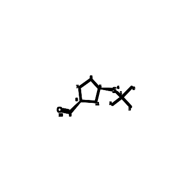 CC(C)(C)S[C@@H]1CC[C@H](C=O)C1